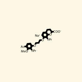 CCCc1c(OCCCOc2ccc(C(C)=O)c(OC)c2CCC)ccc2c1OC(C(=O)[O-])CC2.[Na+]